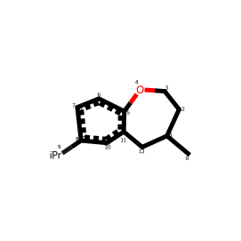 CC1CCOc2ccc(C(C)C)cc2C1